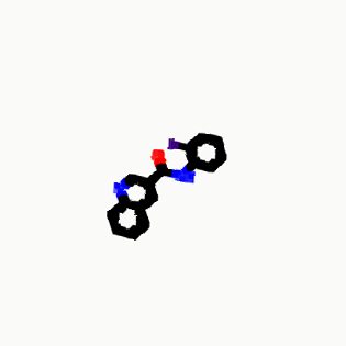 O=C(Nc1ccccc1I)c1cnc2ccccc2c1